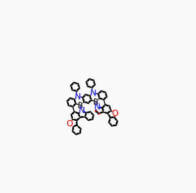 c1ccc(N2c3cc4c(cc3B3c5c(cccc52)-c2cc5oc6ccccc6c5c5c6ccccc6n3c25)B2c3c(cccc3N4c3ccccc3)-c3cc4oc5ccccc5c4c4c5ccccc5n2c34)cc1